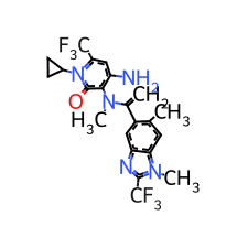 C=C(c1cc2nc(C(F)(F)F)n(C)c2cc1C)N(C)c1c(N)cc(C(F)(F)F)n(C2CC2)c1=O